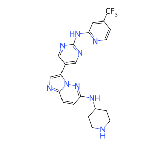 FC(F)(F)c1ccnc(Nc2ncc(-c3cnc4ccc(NC5CCNCC5)nn34)cn2)c1